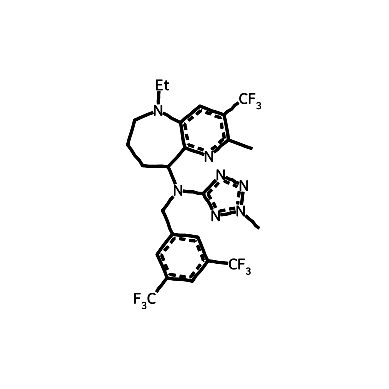 CCN1CCCC(N(Cc2cc(C(F)(F)F)cc(C(F)(F)F)c2)c2nnn(C)n2)c2nc(C)c(C(F)(F)F)cc21